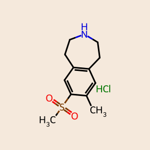 Cc1cc2c(cc1S(C)(=O)=O)CCNCC2.Cl